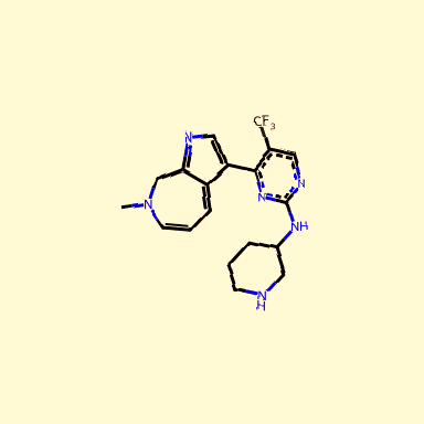 CN1C=CC=C2C(c3nc(NC4CCCNC4)ncc3C(F)(F)F)=CN=C2C1